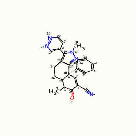 CC1C(=O)C(C#N)=C[C@]2(c3ccccc3)c3nn(C)c(-c4ccnnc4)c3CCC12